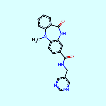 CN1c2ccc(C(=O)NCc3cncnc3)cc2NC(=O)c2ccccc21